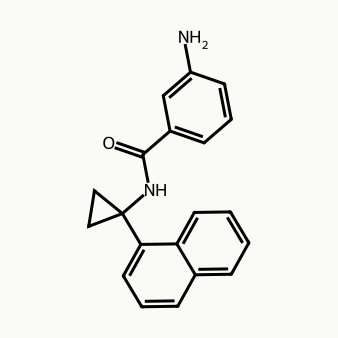 Nc1cccc(C(=O)NC2(c3cccc4ccccc34)CC2)c1